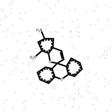 O=[N+]([O-])c1cc2c(c([N+](=O)[O-])c1)OC1(C=C2)c2ccccc2Oc2ccccc21